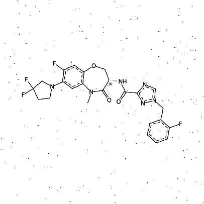 CN1C(=O)[C@@H](NC(=O)c2ncn(Cc3ccccc3F)n2)COc2cc(F)c(N3CCC(F)(F)C3)cc21